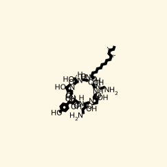 CC[C@@H](C)C[C@H](C)CCCCCCCCC(=O)N[C@H]1C[C@@H](O)[C@@H](NCCN)NC(=O)[C@@H]2[C@@H](O)CCN2C(=O)[C@H]([C@H](O)CCN)NC(=O)[C@H]([C@H](O)[C@@H](O)c2ccc(O)cc2)NC(=O)[C@@H]2C[C@@H](O)CN2C(=O)[C@H]([C@@H](C)O)NC1=O